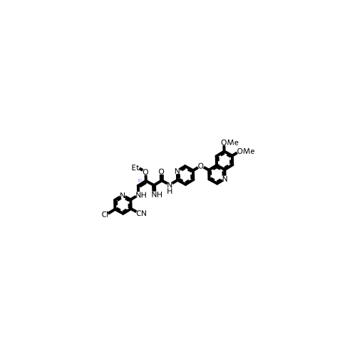 CCO/C(=C/Nc1ncc(Cl)cc1C#N)C(=N)C(=O)Nc1ccc(Oc2ccnc3cc(OC)c(OC)cc23)cn1